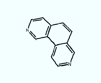 [c]1nccc2ccc3cnccc3c12